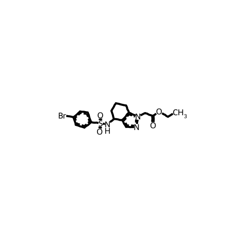 CCOC(=O)Cn1ncc2c1CCCC2NS(=O)(=O)c1ccc(Br)cc1